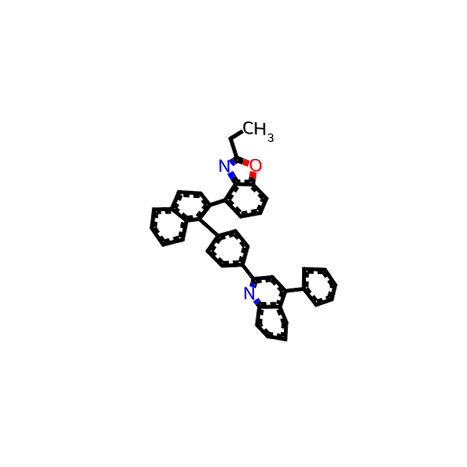 CCc1nc2c(-c3ccc4ccccc4c3-c3ccc(-c4cc(-c5ccccc5)c5ccccc5n4)cc3)cccc2o1